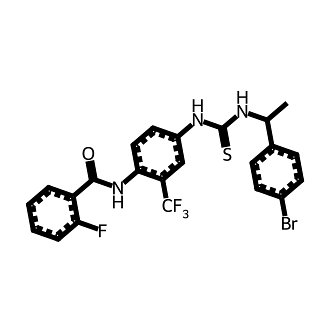 CC(NC(=S)Nc1ccc(NC(=O)c2ccccc2F)c(C(F)(F)F)c1)c1ccc(Br)cc1